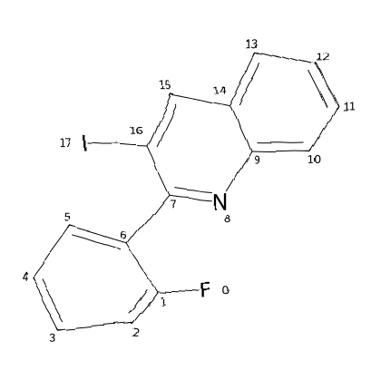 Fc1ccccc1-c1nc2ccccc2cc1I